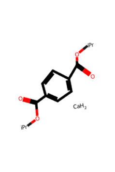 CC(C)OC(=O)c1ccc(C(=O)OC(C)C)cc1.[CaH2]